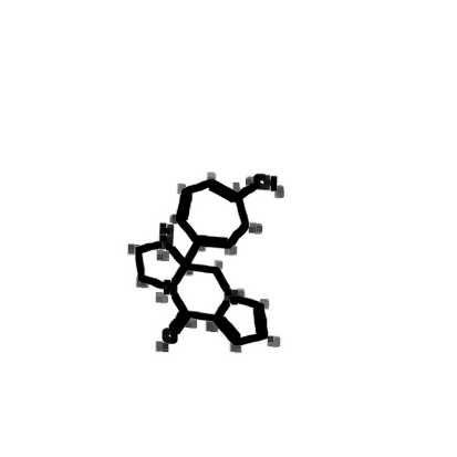 CC1=CC=CC(C23Cn4cccc4C(=O)N2CCN3)=CC1